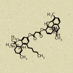 CCCCCc1cc(OC(=O)CC(=O)OC2C=C[C@H]3[C@H]4Cc5ccc(C)c6c5[C@@]3(CCN4C)[C@H]2O6)cc2c1[C@@H]1C=C(C)CC[C@H]1C(C)(C)O2